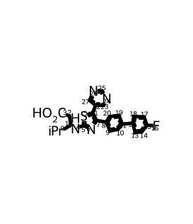 CC(C)C(CC(=O)O)Nc1nc(-c2ccc(-c3ccc(F)cc3)cc2)c(-c2cncnc2)s1